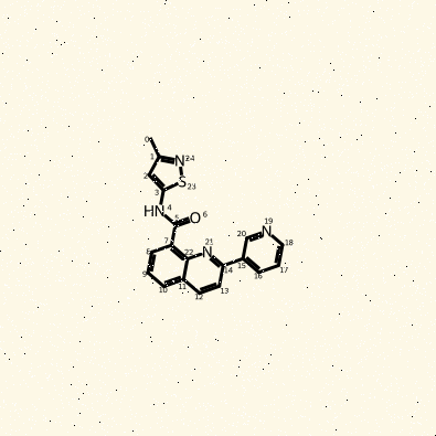 Cc1cc(NC(=O)c2cccc3ccc(-c4cccnc4)nc23)sn1